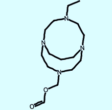 CCN1CCN2CCCN(CC1)CCN(COC=O)CC2